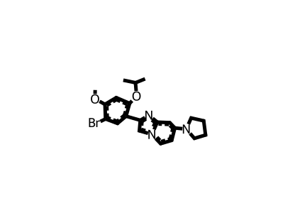 COc1cc(OC(C)C)c(-c2cn3ccc(N4CCCC4)cc3n2)cc1Br